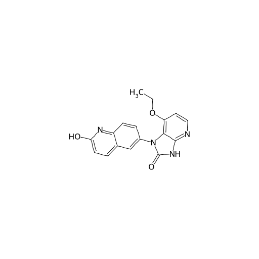 CCOc1ccnc2[nH]c(=O)n(-c3ccc4nc(O)ccc4c3)c12